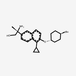 CC(C)(C)[C@H]1CC[C@H](Oc2ccc3cc([C@@](C)(N)CO)ccc3c2C2CC2)CC1